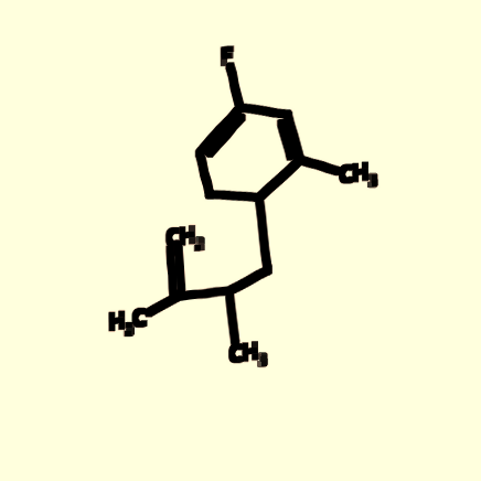 C=C(C)C(C)CC1CC=C(F)C=C1C